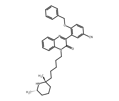 C[C@H]1CCC[C@@](C)(CCCCCn2c(=O)c(-c3cc(C#N)ccc3OCc3ccccc3)nc3ccccc32)N1